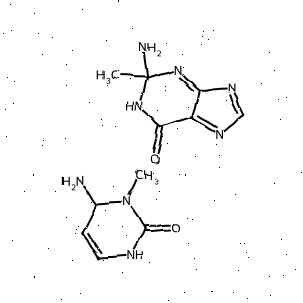 CC1(N)N=C2N=CN=C2C(=O)N1.CN1C(=O)NC=CC1N